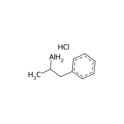 C[CH]([AlH2])Cc1ccccc1.Cl